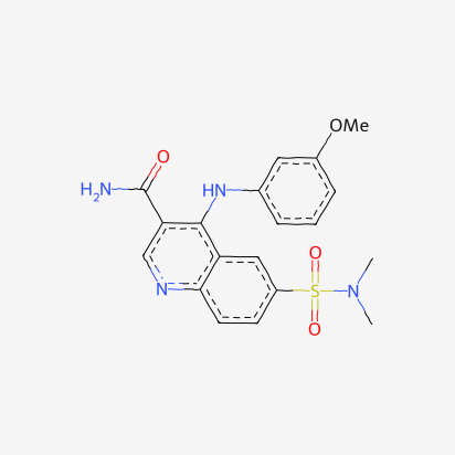 COc1cccc(Nc2c(C(N)=O)cnc3ccc(S(=O)(=O)N(C)C)cc23)c1